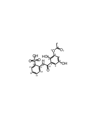 CC(=O)Oc1cc(O)cc(C(=O)Nc2ccccc2S(=O)(=O)O)c1O